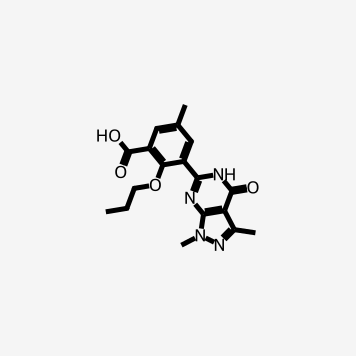 CCCOc1c(C(=O)O)cc(C)cc1-c1nc2c(c(C)nn2C)c(=O)[nH]1